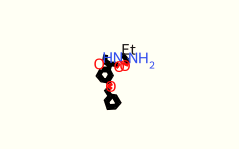 CC[C@H](NC(=O)c1c(C)oc2ccc(OCc3ccccc3)cc12)C(N)=O